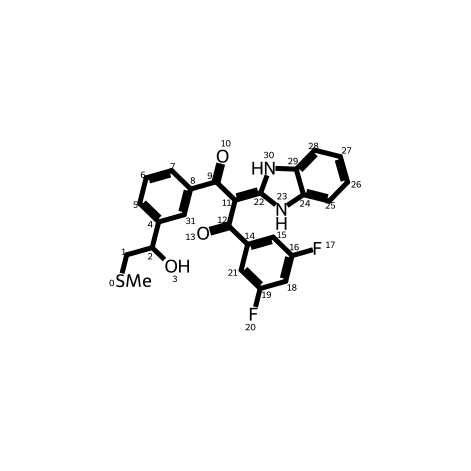 CSCC(O)c1cccc(C(=O)C(C(=O)c2cc(F)cc(F)c2)=C2Nc3ccccc3N2)c1